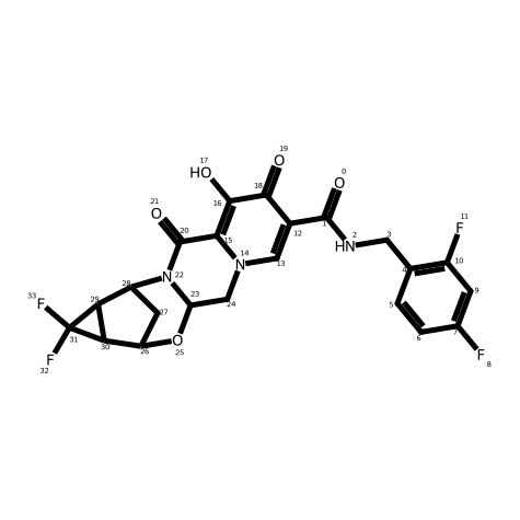 O=C(NCc1ccc(F)cc1F)c1cn2c(c(O)c1=O)C(=O)N1C(C2)OC2CC1C1C2C1(F)F